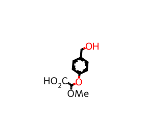 COC(Oc1ccc(CO)cc1)C(=O)O